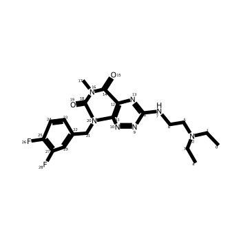 CCN(CC)CCNc1nnc2c(n1)c(=O)n(C)c(=O)n2Cc1ccc(F)c(F)c1